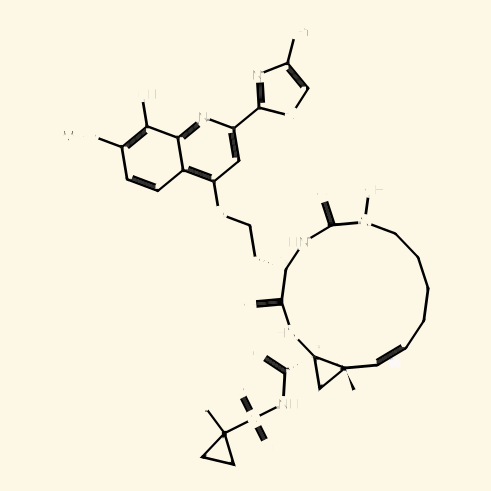 COc1ccc2c(OCC[C@@H]3NC(=O)N(C)CCCC/C=C\[C@@H]4C[C@@]4(C(=O)NS(=O)(=O)C4(I)CC4)NC3=O)cc(-c3nc(C(C)C)cs3)nc2c1C